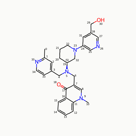 Cc1cc(CN(Cc2cn(C)c3ccccc3c2=O)[C@H]2CCCN(c3cncc(CO)c3)C2)ccn1